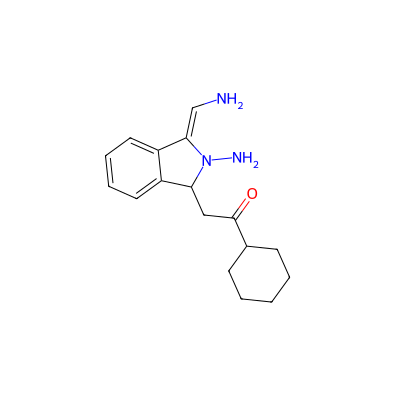 N/C=C1/c2ccccc2C(CC(=O)C2CCCCC2)N1N